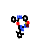 Cc1cccc(C)c1-c1cc2nc(n1)NS(=O)(=O)c1cccc(c1)NC[C@@H](c1ccccc1)O2